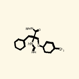 CNC(=O)C(COC1CCC(C)CC1)(CC1CCCCC1)NC=N